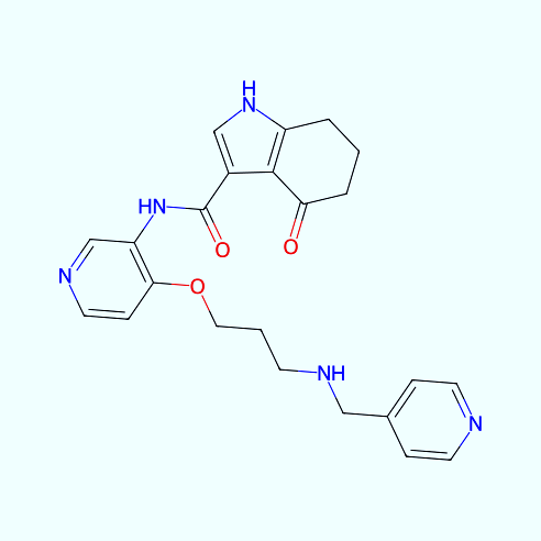 O=C(Nc1cnccc1OCCCNCc1ccncc1)c1c[nH]c2c1C(=O)CCC2